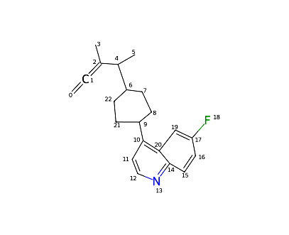 C=C=C(C)C(C)C1CCC(c2ccnc3ccc(F)cc23)CC1